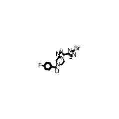 O=C(c1ccc(F)cc1)N1CCn2c(nnc2-c2nc(Br)ns2)C1